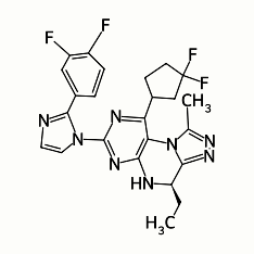 CC[C@H]1Nc2nc(-n3ccnc3-c3ccc(F)c(F)c3)nc(C3CCC(F)(F)C3)c2-n2c(C)nnc21